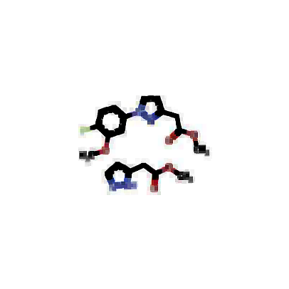 COC(=O)Cc1ccn(-c2ccc(F)c(OC)c2)n1.COC(=O)Cc1ccn[nH]1